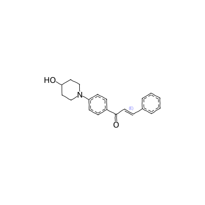 O=C(/C=C/c1ccccc1)c1ccc(N2CCC(O)CC2)cc1